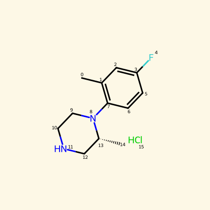 Cc1cc(F)ccc1N1CCNC[C@H]1C.Cl